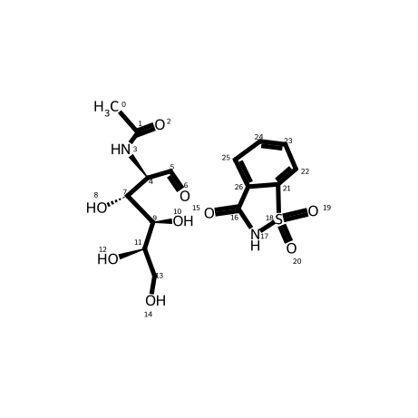 CC(=O)N[C@@H](C=O)[C@@H](O)[C@@H](O)[C@H](O)CO.O=C1NS(=O)(=O)c2ccccc21